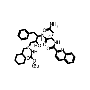 CC(C)(C)OC(=O)NN(CC1CCCCC1)CC(O)C(Cc1ccccc1)NC(=O)[C@H](CC(N)=O)NC(=O)c1ccc2ccccc2n1